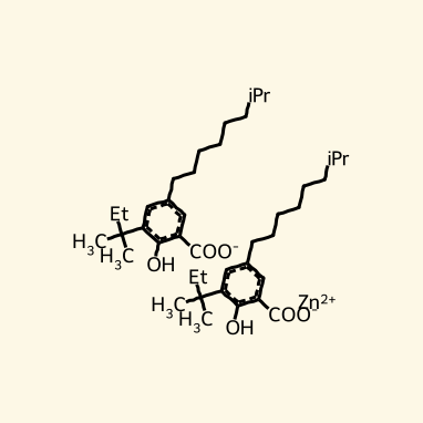 CCC(C)(C)c1cc(CCCCCCC(C)C)cc(C(=O)[O-])c1O.CCC(C)(C)c1cc(CCCCCCC(C)C)cc(C(=O)[O-])c1O.[Zn+2]